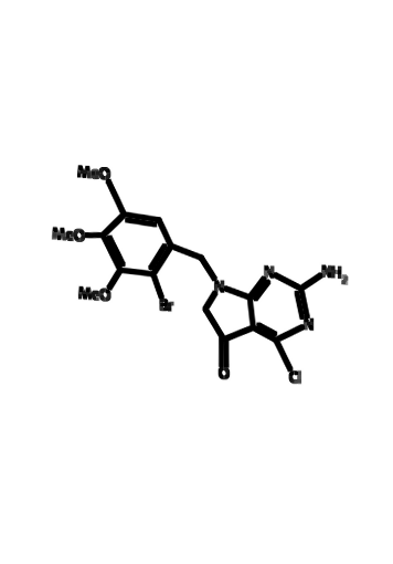 COc1cc(CN2CC(=O)c3c(Cl)nc(N)nc32)c(Br)c(OC)c1OC